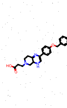 O=C(O)CCN1CCC2=NC(c3ccc(OCc4ccccc4)cc3)=CNC2C1